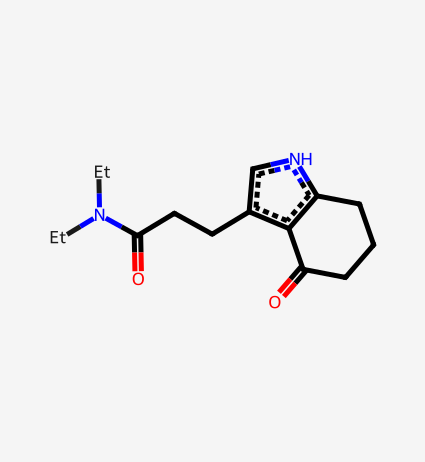 CCN(CC)C(=O)CCc1c[nH]c2c1C(=O)CCC2